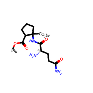 CCOC(=O)C1(NC(=O)[C@@H](N)CCC(N)=O)CCCC1C(=O)OC(C)(C)C